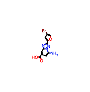 Nc1cc(C(=O)O)cc2nc(-c3cc(Br)co3)nn12